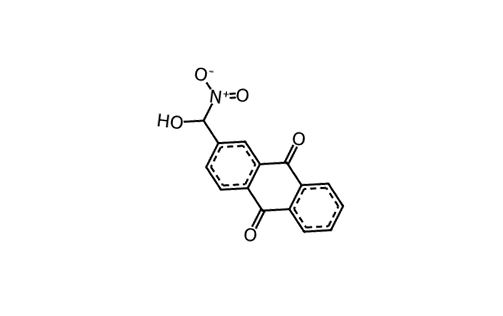 O=C1c2ccccc2C(=O)c2cc(C(O)[N+](=O)[O-])ccc21